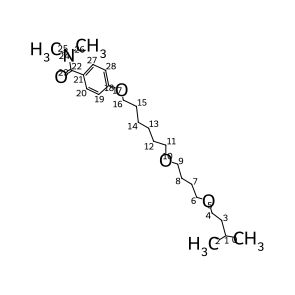 CC(C)CCOCCCCOCCCCCCOc1ccc(C(=O)N(C)C)cc1